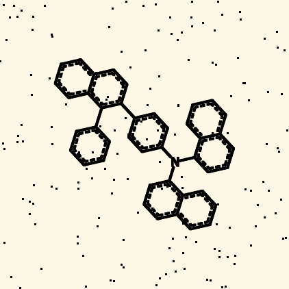 c1ccc(-c2c(-c3ccc(N(c4cccc5ccccc45)c4cccc5ccccc45)cc3)ccc3ccccc23)cc1